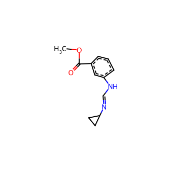 COC(=O)c1cccc(N/C=N/C2CC2)c1